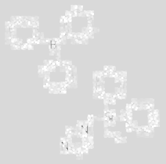 CC[Si](Cn1ccnc1)(c1ccccc1)c1ccccc1.c1ccc(B(c2ccccc2)c2ccccc2)cc1